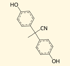 CC(C#N)(c1ccc(O)cc1)c1ccc(O)cc1